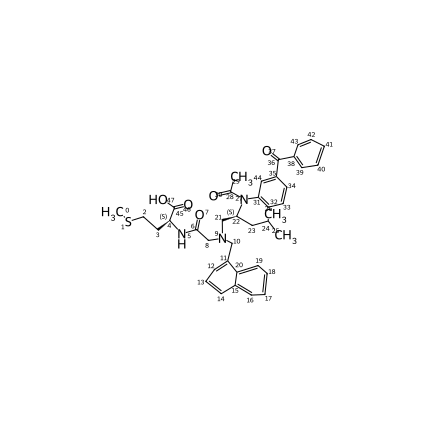 CSCC[C@H](NC(=O)CN(Cc1cccc2ccccc12)C[C@H](CC(C)C)N(C(C)=O)c1cccc(C(=O)c2ccccc2)c1)C(=O)O